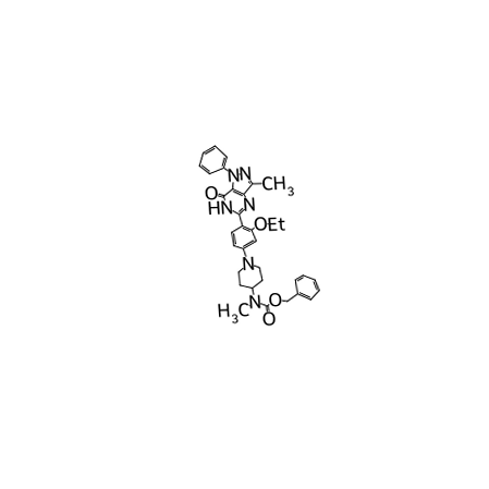 CCOc1cc(N2CCC(N(C)C(=O)OCc3ccccc3)CC2)ccc1-c1nc2c(C)nn(-c3ccccc3)c2c(=O)[nH]1